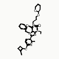 CCn1c(=O)n(CCCOC2CCCCO2)c(=O)c2c1nc(-c1ccc(OC3CCC3C)nc1C)n2Cc1ccccc1